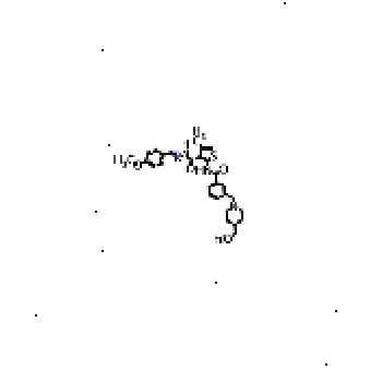 COc1ccc(/C=N/NC(=O)c2c(C)csc2NC(=O)c2cccc(CN3CCC(CO)CC3)c2)cc1